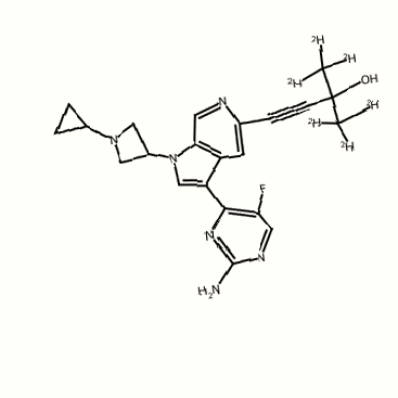 [2H]C([2H])([2H])C(O)(C#Cc1cc2c(-c3nc(N)ncc3F)cn(C3CN(C4CC4)C3)c2cn1)C([2H])([2H])[2H]